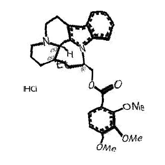 CC[C@]12CCCN3CCc4c(n(c5ccccc45)[C@@H](COC(=O)c4ccc(OC)c(OC)c4OC)C1)[C@@H]32.Cl